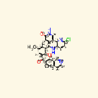 Cc1cc(C(C)Nc2ccc(Cl)nc2-c2ccc(=O)[nH]c2)c2oc(-c3cccnc3)c(C)c(=O)c2c1